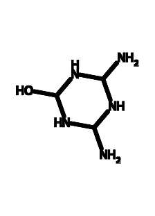 NC1NC(N)NC(O)N1